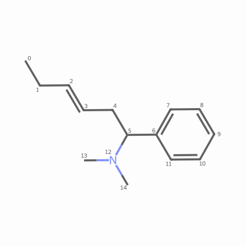 CCC=CCC(c1ccccc1)N(C)C